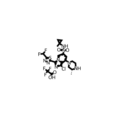 C[C@@H]1CN(c2cc(S(=O)(=O)NC3(C)CC3)cn3c(-c4nnc(C(F)F)s4)nc(Cl)c23)CCN1.O=C(O)C(F)(F)F